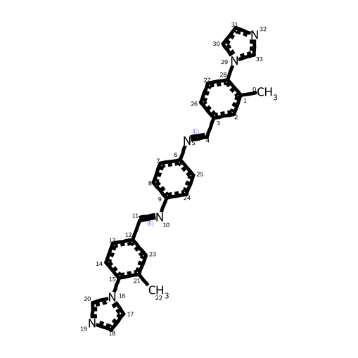 Cc1cc(/C=N/c2ccc(/N=C/c3ccc(-n4ccnc4)c(C)c3)cc2)ccc1-n1ccnc1